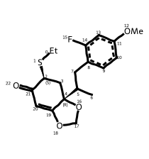 CCS[C@H]1C[C@]2(C(C)Cc3ccc(OC)cc3F)OCOC2=CC1=O